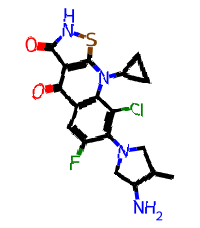 CC1CN(c2c(F)cc3c(=O)c4c(=O)[nH]sc4n(C4CC4)c3c2Cl)CC1N